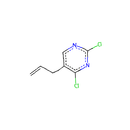 C=CCc1cnc(Cl)nc1Cl